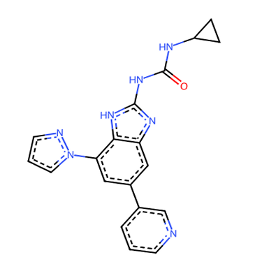 O=C(Nc1nc2cc(-c3cccnc3)cc(-n3cccn3)c2[nH]1)NC1CC1